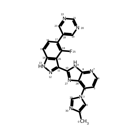 Cc1cn(-c2ccnc3[nH]c(-c4n[nH]c5ccc(-c6cncnc6)c(F)c45)nc23)cn1